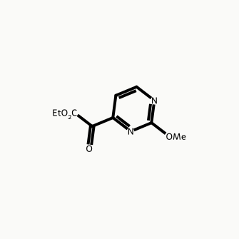 CCOC(=O)C(=O)c1ccnc(OC)n1